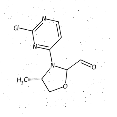 C[C@H]1COC(C=O)N1c1ccnc(Cl)n1